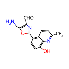 NCc1oc(-c2ccc(O)c3nc(C(F)(F)F)ccc23)nc1C=O